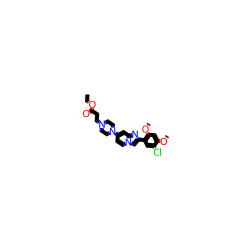 CCOC(=O)CCN1CCN(c2ccn3cc(-c4cc(Cl)c(OC)cc4OC)nc3c2)CC1